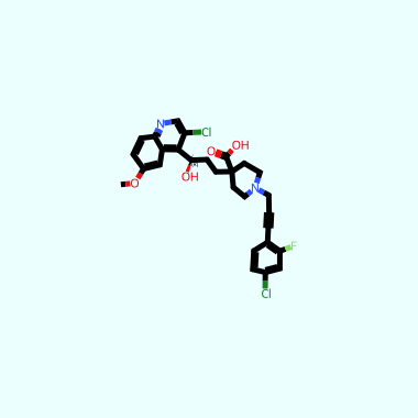 COc1ccc2ncc(Cl)c([C@H](O)CCC3(C(=O)O)CCN(CC#Cc4ccc(Cl)cc4F)CC3)c2c1